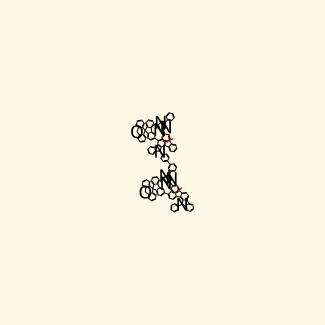 CC1(C)c2cc(-c3ccc4c(c3)-c3c(-c5nc(-c6ccccc6)nc(-c6cccc(-c7ccc(-n8c9ccccc9c9c(-c%10ccc%11c(c%10)-c%10c(-c%12nc(-c%13ccccc%13)nc(-c%13ccccc%13)n%12)cccc%10C%11%10c%11ccccc%11Oc%11ccccc%11%10)cc%10c(c98)-c8ccccc8C%10(C)C)cc7)c6)n5)cccc3C43c4ccccc4Oc4ccccc43)ccc2-c2c1ccc1c3ccccc3n(-c3ccccc3)c21